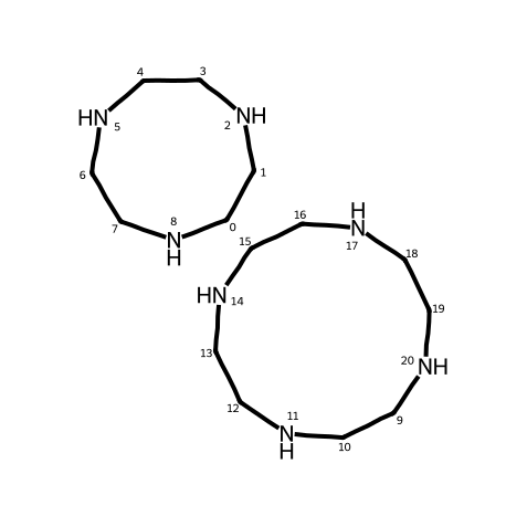 C1CNCCNCCN1.C1CNCCNCCNCCN1